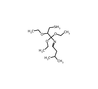 CCOC(C[SiH3])C(N=CCC(C)C)(OCC)OCC